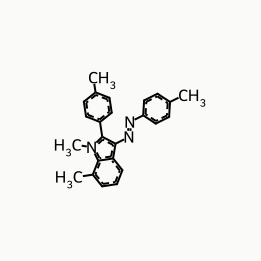 Cc1ccc(N=Nc2c(-c3ccc(C)cc3)n(C)c3c(C)cccc23)cc1